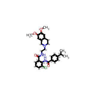 COc1cc2c(cc1OC)CN(CCNC(=O)c1cccc(Cl)c1NC(=O)c1ccc(C(C)C)cc1)CC2